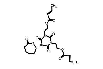 CC=CC(=O)OCCn1c(=O)[nH]c(=O)n(CCOC(=O)C=CC)c1=O.O=C1CCCCCO1